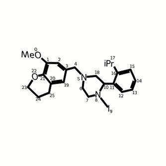 COc1cc(CN2CCN(I)C(c3ccccc3C(C)C)C2)cc2c1OCCC2